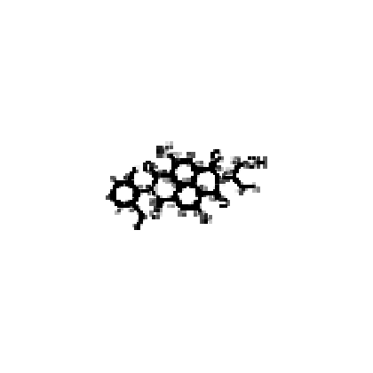 CCc1cccc(C)c1N1C(=O)c2cc(Br)c3c4c(cc(Br)c(c24)C1=O)C(=O)N(C(CC)CO)C3=O